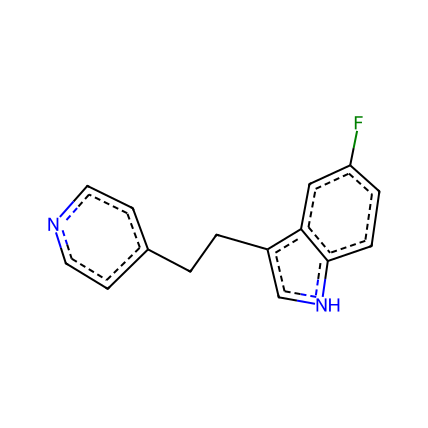 Fc1ccc2[nH]cc(CCc3ccncc3)c2c1